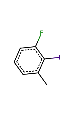 Cc1cccc(F)c1I